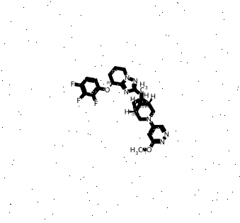 COc1cc(N2C[C@@H]3CC(C)[C@H](C2)[C@H]3Nc2nc3n(n2)CCC[C@H]3Oc2ccc(F)c(F)c2F)cnn1